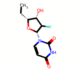 CC[C@H]1O[C@@H](n2ccc(=O)[nH]c2=O)C(F)[C@H]1O